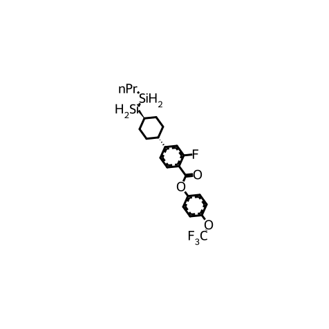 CCC[SiH2][SiH2][C@H]1CC[C@H](c2ccc(C(=O)Oc3ccc(OC(F)(F)F)cc3)c(F)c2)CC1